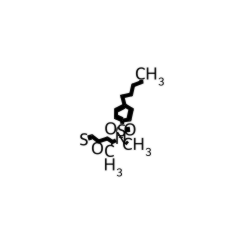 CCCCCc1ccc(S(=O)(=O)N(C)[C@H](C)CC(=O)C=S)cc1